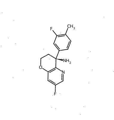 Cc1ccc([C@@]2(N)CCOc3cc(F)cnc32)cc1F